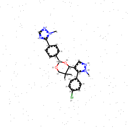 Cn1ncnc1-c1ccc(B2OCC(C)(C)C(c3cnn(C)c3-c3ccc(Br)cc3)O2)cc1